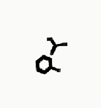 Clc1ccccc1.O=C(O)O